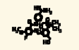 COc1cc(C(=O)Nc2ccc(C(=N)N)cc2)c(NCc2cc(CO)cc(OC(C)C)c2OCC(=O)O)cc1F